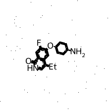 CCc1c[nH]c(=O)c2cc(F)c(O[C@H]3CC[C@H](N)CC3)cc12